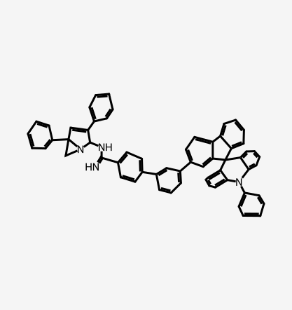 N=C(NC1C(c2ccccc2)=CC2(c3ccccc3)CN12)c1ccc(-c2cccc(-c3ccc4c(c3)C3(c5ccccc5-4)c4ccccc4N(c4ccccc4)c4ccccc43)c2)cc1